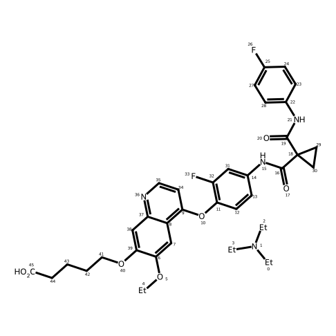 CCN(CC)CC.CCOc1cc2c(Oc3ccc(NC(=O)C4(C(=O)Nc5ccc(F)cc5)CC4)cc3F)ccnc2cc1OCCCCC(=O)O